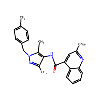 COc1cc(C(=O)Nc2c(C)nn(Cc3ccc(C(F)(F)F)cc3)c2C)c2ccccc2n1